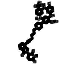 COc1cc(C2CCN(CCCCC#Cc3cccc4c3CN(C3CCC(=O)NC3=O)C4=O)CC2)c(C)cc1Nc1ncc(Cl)c(Nc2ccccc2S(=O)(=O)C(C)C)n1